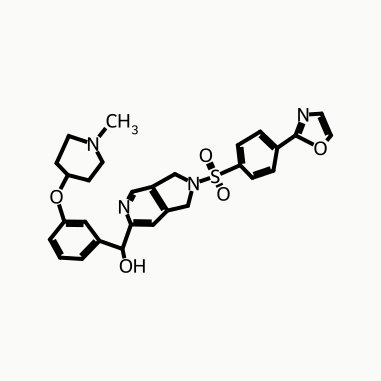 CN1CCC(Oc2cccc(C(O)c3cc4c(cn3)CN(S(=O)(=O)c3ccc(-c5ncco5)cc3)C4)c2)CC1